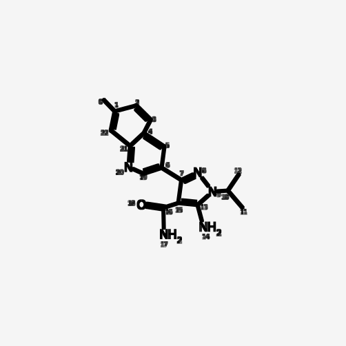 Cc1ccc2cc(-c3nn(C(C)C)c(N)c3C(N)=O)cnc2c1